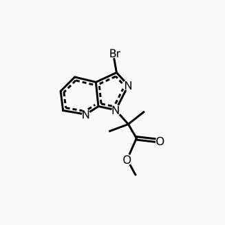 COC(=O)C(C)(C)n1nc(Br)c2cccnc21